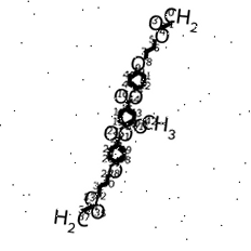 C=CC(=O)OCCCCOc1ccc(OC(=O)c2ccc(OC(=O)c3ccc(OCCCCOC(=O)C=C)cc3)c(OC)c2)cc1